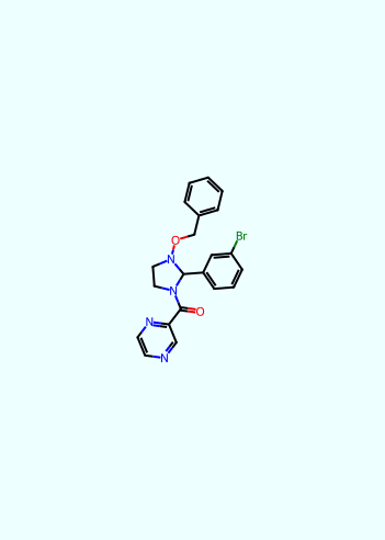 O=C(c1cnccn1)N1CCN(OCc2ccccc2)C1c1cccc(Br)c1